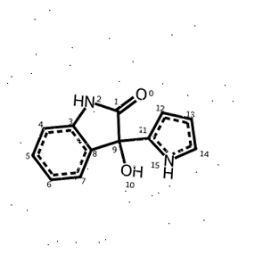 O=C1Nc2ccccc2C1(O)c1ccc[nH]1